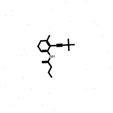 C=C(CCC)NC1=CCCC(C)=C1C#CC(C)(C)C